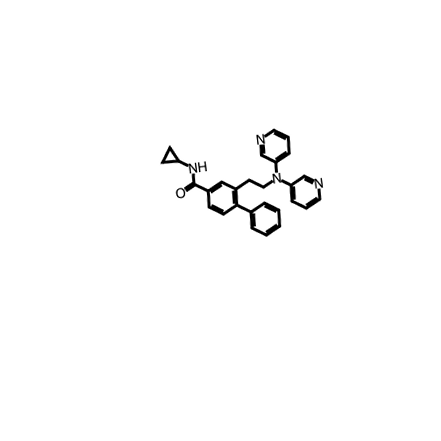 O=C(NC1CC1)c1ccc(-c2ccccc2)c(CCN(c2cccnc2)c2cccnc2)c1